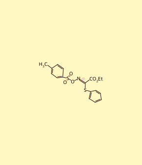 CCOC(=O)/C(=N/OS(=O)(=O)c1ccc(C)cc1)Sc1ccccc1